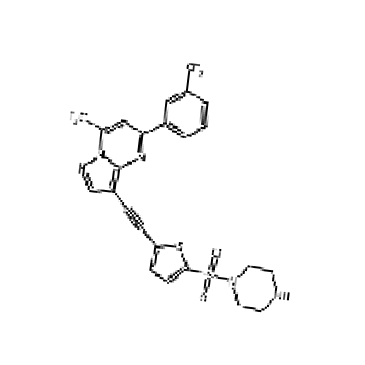 O=S(=O)(c1ccc(C#Cc2cnn3c(C(F)(F)F)cc(-c4cccc(C(F)(F)F)c4)nc23)s1)N1CCNCC1